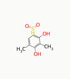 Cc1cc([SH](=O)=O)c(O)c(C)c1O